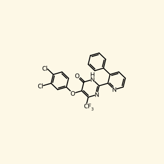 O=c1[nH]c(-c2ncccc2-c2ccccc2)nc(C(F)(F)F)c1Oc1ccc(Cl)c(Cl)c1